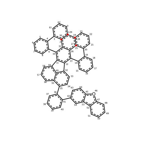 c1ccc(-c2ccccc2-c2c3c(c(-c4ccccc4-c4ccccc4)c4ccccc24)-c2ccc(-c4ccccc4-c4ccc5oc6ccccc6c5c4)c4cccc-3c24)cc1